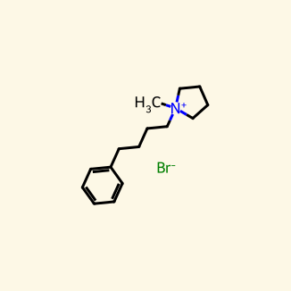 C[N+]1(CCCCc2ccccc2)CCCC1.[Br-]